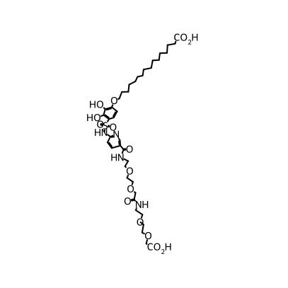 O=C(O)CCCCCCCCCCCCCCCOc1ccc(S(=O)(=O)Nc2ccc(C(=O)NCCOCCOCC(=O)NCCOCCOCC(=O)O)cn2)c(O)c1O